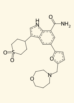 NC(=O)c1cc(-c2ccc(CN3CCCOCC3)o2)cc2c(C3CCS(=O)(=O)CC3)c[nH]c12